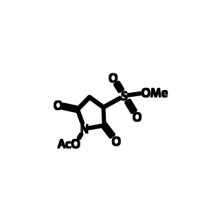 COS(=O)(=O)C1CC(=O)N(OC(C)=O)C1=O